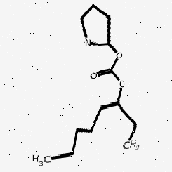 CCCCCC(CC)OC(=O)OC1CCC[N]1